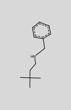 CC(C)(C)CCNCc1ccccc1